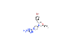 CC1CN(C2CCN(c3nnc(N)[nH]3)CC2)C(Cc2ccc(Br)cc2)CO1